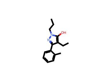 CCCn1nc(-c2ccccc2C)c(CC)c1O